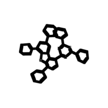 c1ccc(-c2cc(-c3ccccc3)c3oc4c(-c5ccccc5)ccc(-c5nc(-c6ccccc6)nc(-c6ccccc6)n5)c4c3c2)cc1